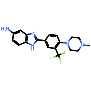 CN1CCN(c2ccc(-c3nc4cc(N)ccc4[nH]3)cc2C(F)(F)F)CC1